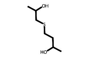 CC(O)CCSCC(C)O